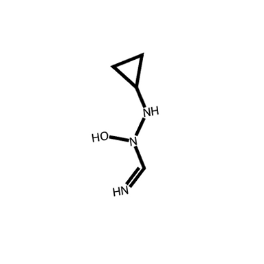 N=CN(O)NC1CC1